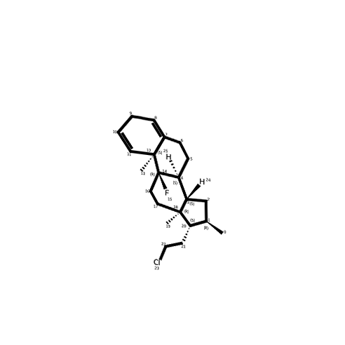 C[C@@H]1C[C@H]2[C@@H]3CCC4=CCC=C[C@]4(C)[C@@]3(F)CC[C@]2(C)[C@H]1CCCl